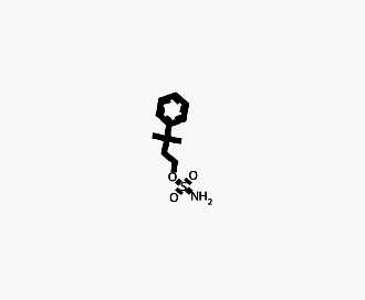 CC(C)(CCOS(N)(=O)=O)c1ccccc1